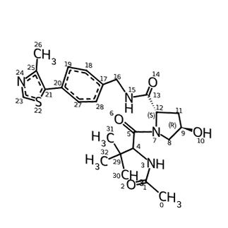 CC(=O)NC(C(=O)N1C[C@H](O)C[C@H]1C(=O)NCc1ccc(-c2scnc2C)cc1)C(C)(C)C